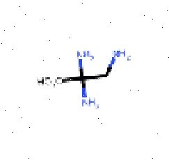 NCC(N)(N)C(=O)O